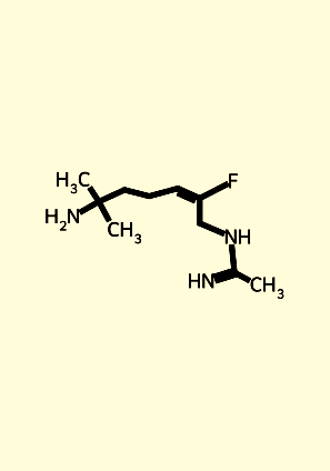 CC(=N)NC/C(F)=C\CCC(C)(C)N